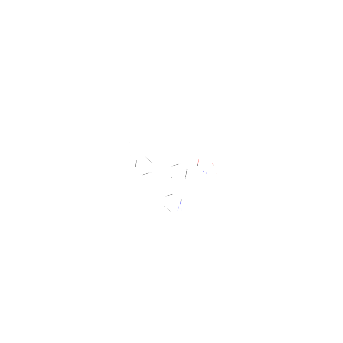 CCOc1ncccc1-c1cc(C(=O)NS(C)(=O)=O)c(F)cc1Oc1ccc(OC(F)(F)F)c(Cl)c1